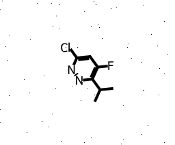 CC(C)c1nnc(Cl)cc1F